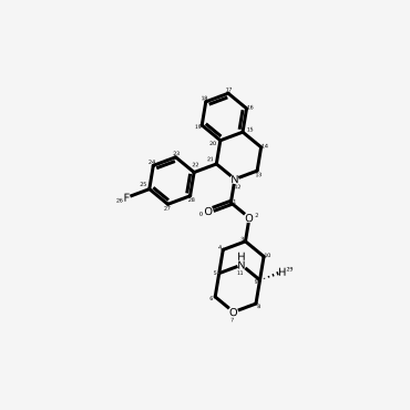 O=C(OC1CC2COC[C@H](C1)N2)N1CCc2ccccc2C1c1ccc(F)cc1